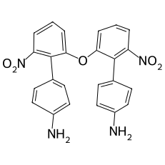 Nc1ccc(-c2c(Oc3cccc([N+](=O)[O-])c3-c3ccc(N)cc3)cccc2[N+](=O)[O-])cc1